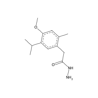 COc1cc(C)c(CC(=O)NN)cc1C(C)C